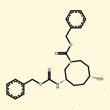 O=C(N[C@H]1CC[C@@H](O)CCN(C(=O)OCc2ccccc2)C1)OCc1ccccc1